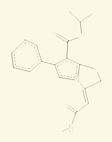 CNC(=O)C=C1CSc2c(C(=O)OC(C)C)c(-c3ccccc3)cn21